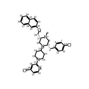 CN1C[C@H](Cc2ccc(Cl)cc2)N(C2CCN(c3cc(Cl)ccn3)CC2)C[C@@H]1COc1ccc2ccccc2c1